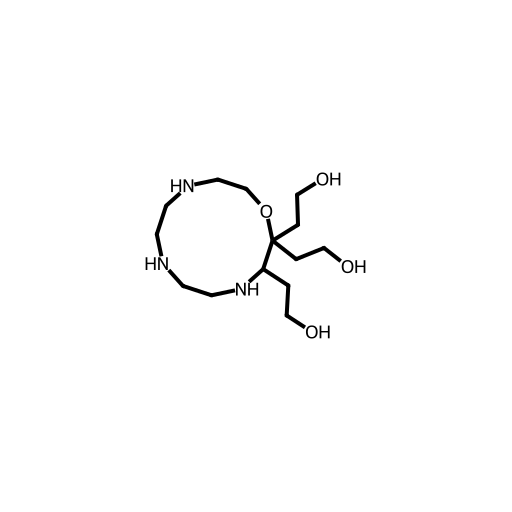 OCCC1NCCNCCNCCOC1(CCO)CCO